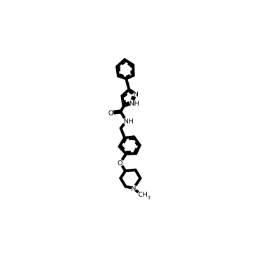 CN1CCC(Oc2cccc(CNC(=O)c3cc(-c4ccccc4)n[nH]3)c2)CC1